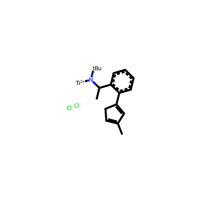 CC1=CCC(c2ccccc2C(C)[N]([Ti+2])C(C)(C)C)=C1.[Cl-].[Cl-]